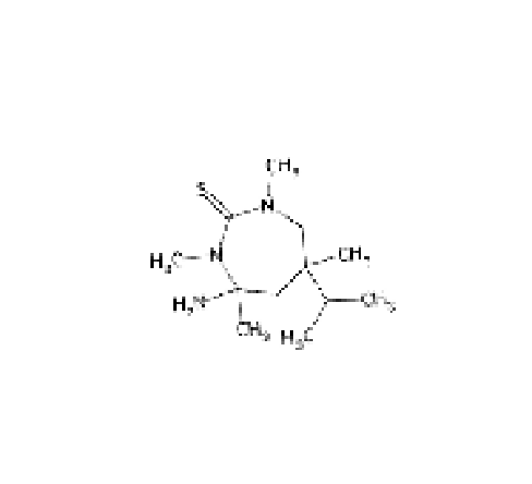 CC(C)C1(C)CN(C)C(=S)N(C)C(C)(N)C1